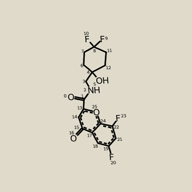 O=C(NCC1(O)CCC(F)(F)CC1)c1cc(=O)c2cc(F)cc(F)c2o1